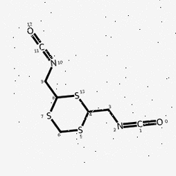 O=C=NCC1SCSC(CN=C=O)S1